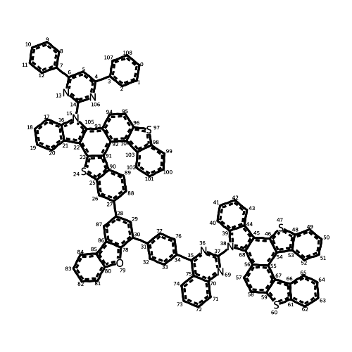 c1ccc(-c2cc(-c3ccccc3)nc(-n3c4ccccc4c4c5sc6cc(-c7cc(-c8ccc(-c9nc(-n%10c%11ccccc%11c%11c%12sc%13ccccc%13c%12c%12c(ccc%13sc%14ccccc%14c%13%12)c%11%10)nc%10ccccc9%10)cc8)c8oc9ccccc9c8c7)ccc6c5c5c(ccc6sc7ccccc7c65)c43)n2)cc1